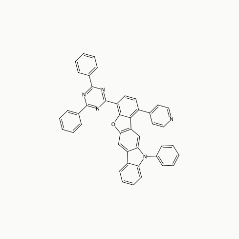 c1ccc(-c2nc(-c3ccccc3)nc(-c3ccc(-c4ccncc4)c4c3oc3cc5c6ccccc6n(-c6ccccc6)c5cc34)n2)cc1